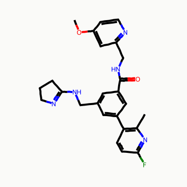 COc1ccnc(CNC(=O)c2cc(CNC3=NCCC3)cc(-c3ccc(F)nc3C)c2)c1